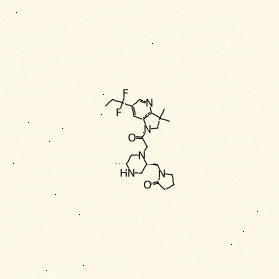 CCC(F)(F)c1cnc2c(c1)N(C(=O)CN1C[C@@H](C)NC[C@@H]1CN1CCCC1=O)CC2(C)C